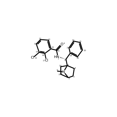 CN1C2CCC1([C@H](NC(=O)c1cccc(Cl)c1Cl)c1ccccc1)CC2